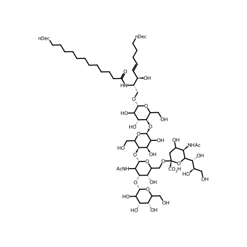 CCCCCCCCCCCCC/C=C/[C@@H](O)[C@H](CO[C@@H]1OC(CO)[C@@H](O[C@@H]2OC(CO)[C@H](O[C@@H]3OC(CO[C@]4(C(=O)O)CC(O)[C@@H](NC(C)=O)C([C@H](O)[C@H](O)CO)O4)[C@H](O)[C@H](O[C@@H]4OC(CO)[C@H](O)[C@H](O)C4O)C3NC(C)=O)[C@H](O)C2O)[C@H](O)C1O)NC(=O)CCCCCCCCCCCCCCCCCCCCC